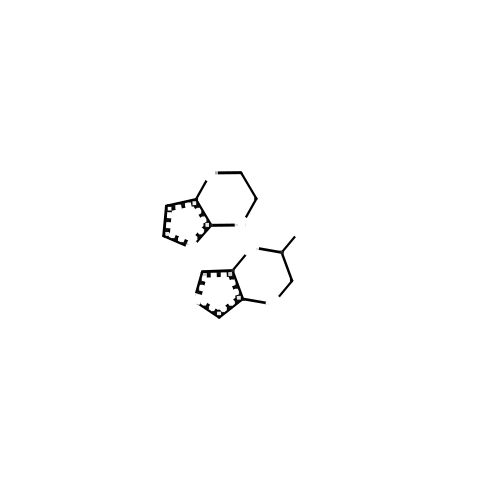 CC1COc2cscc2O1.c1cc2c(s1)OCCO2